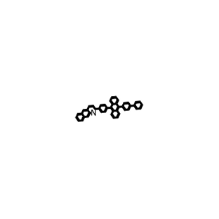 c1ccc(-c2ccc(-c3c4ccccc4c(-c4ccc(-c5ccc6cc7ccccc7cc6n5)cc4)c4ccccc34)cc2)cc1